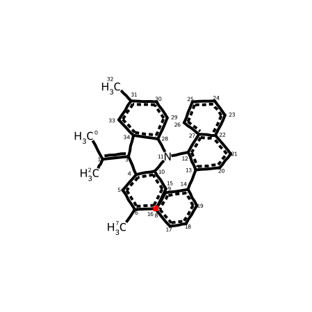 CC(C)=C1c2cc(C)ccc2N(c2c(-c3ccccc3)ccc3ccccc23)c2ccc(C)cc21